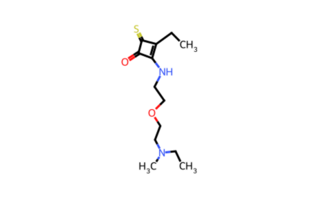 CCc1c(NCCOCCN(C)CC)c(=O)c1=S